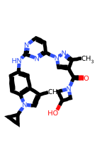 Cc1nn(-c2ccnc(Nc3ccc4c(c3)c(C)cn4C3CC3)n2)cc1C(=O)N1CC(O)C1